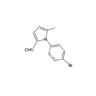 Cc1ccc(C=O)n1-c1ccc(Br)cc1